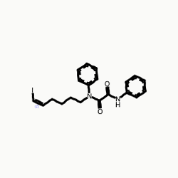 O=C(Nc1ccccc1)C(=O)N(CCCC/C=C\I)c1ccccc1